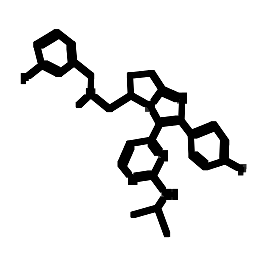 CC(C)Nc1nccc(-c2c(-c3ccc(F)cc3)nc3n2C(CN(C)Cc2cccc(F)c2)CC3)n1